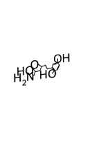 CC(CCc1cc(O)ccc1O)CC(CN)C(=O)O